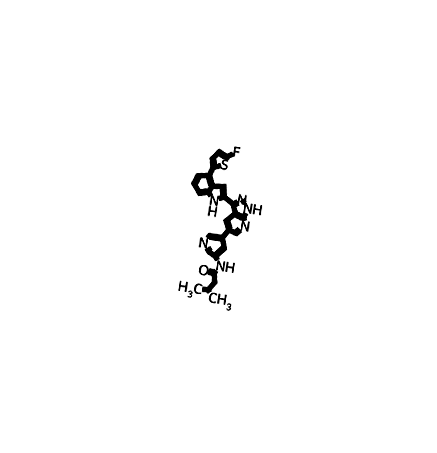 CC(C)CC(=O)Nc1cncc(-c2cnc3[nH]nc(-c4cc5c(-c6ccc(F)s6)cccc5[nH]4)c3c2)c1